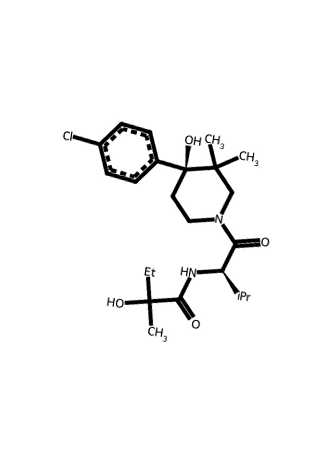 CCC(C)(O)C(=O)N[C@@H](C(=O)N1CC[C@](O)(c2ccc(Cl)cc2)C(C)(C)C1)C(C)C